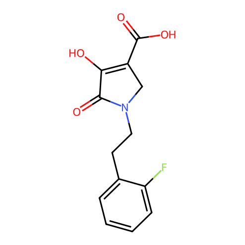 O=C(O)C1=C(O)C(=O)N(CCc2ccccc2F)C1